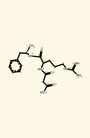 C[C@H](Cc1ccccc1)NC(=O)C(CCCNC(=N)N)NC(=O)CC(=O)O